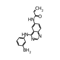 Bc1cccc(Nc2ncnc3ccc(NC(=O)C=C)cc23)c1